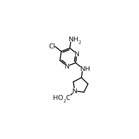 Nc1nc(NC2CCN(C(=O)O)C2)ncc1Cl